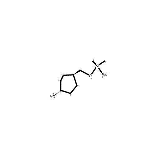 CC(C)(C)[Si](C)(C)OC[C@H]1CC[C@H](O)CC1